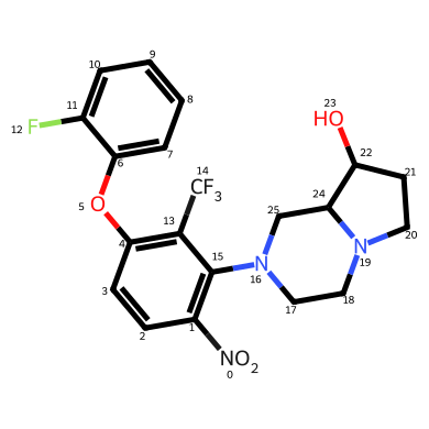 O=[N+]([O-])c1ccc(Oc2ccccc2F)c(C(F)(F)F)c1N1CCN2CCC(O)C2C1